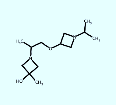 CC(C)N1CC(OCC(C)N2CC(C)(O)C2)C1